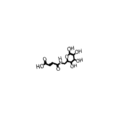 O=C(O)C=CC(=O)NCC1OC(O)C(O)C(O)C1O